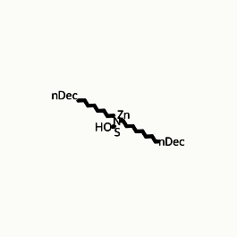 CCCCCCCCCCCCCCCCCCN(CCCCCCCCCCCCCCCCCC)C(O)=S.[Zn]